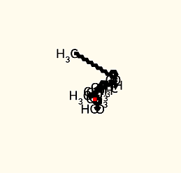 CCCCCCCCCCCCCCCc1cccc(OC(CC)C(=O)Nc2cccc(NC(=O)C(Cl)(Oc3ccc(C(=O)O)cc3)C(=O)C(C)(C)C)c2)c1